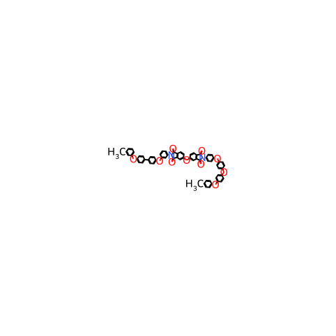 Cc1ccc(Oc2ccc(Oc3ccc(Oc4ccc(N5C(=O)c6ccc(Oc7ccc8c(c7)C(=O)N(c7cccc(Oc9ccc(-c%10ccc(Oc%11cccc(C)c%11)cc%10)cc9)c7)C8=O)cc6C5=O)cc4)cc3)cc2)cc1